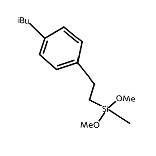 CCC(C)c1ccc(CC[Si](C)(OC)OC)cc1